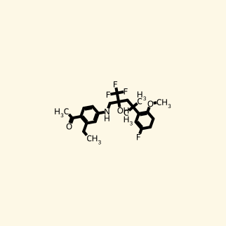 CCc1cc(NCC(O)(CC(C)(C)C2=C(OC)CCC(F)=C2)C(F)(F)F)ccc1C(C)=O